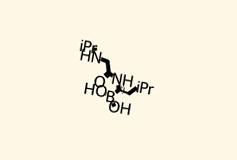 CC(C)C[C@H](NC(=O)CNC(C)C)B(O)O